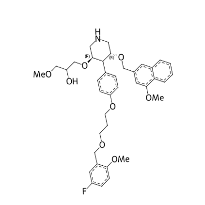 COCC(O)CO[C@H]1CNC[C@H](OCc2cc(OC)c3ccccc3c2)C1c1ccc(OCCCOCc2cc(F)ccc2OC)cc1